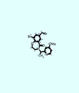 COc1ccnc(C(C)N2CCOc3c(Br)cc(CBr)cc3C2=O)c1